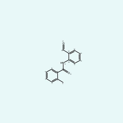 Cc1ccccc1C(=O)Nc1ccccc1[C]=O